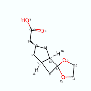 O=C(O)C[C@@H]1C[C@@H]2CC3(OCCO3)[C@@H]2C1